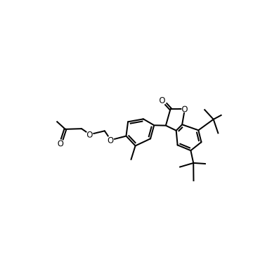 CC(=O)COCOc1ccc(C2C(=O)Oc3c2cc(C(C)(C)C)cc3C(C)(C)C)cc1C